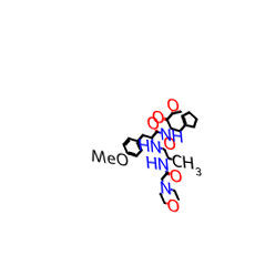 COc1ccc(CC(NC(=O)C(C)NC(=O)CN2CCOCC2)C(=O)NC(CC2=CCCC2)C(=O)C2CO2)cc1